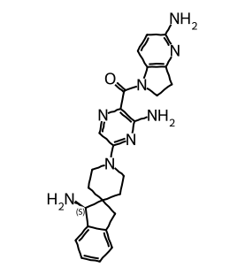 Nc1ccc2c(n1)CCN2C(=O)c1ncc(N2CCC3(CC2)Cc2ccccc2[C@H]3N)nc1N